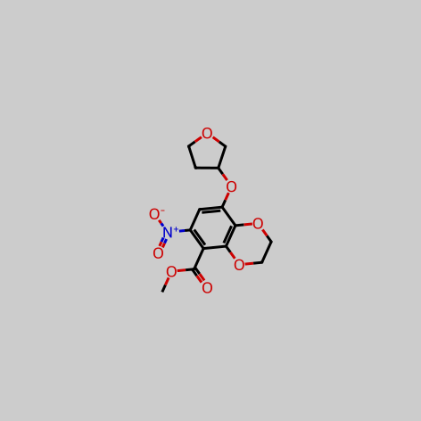 COC(=O)c1c([N+](=O)[O-])cc(OC2CCOC2)c2c1OCCO2